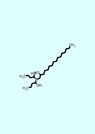 CCCCCCCCCCCCCCC(O)CN(C(O)CCC)C(O)CCC